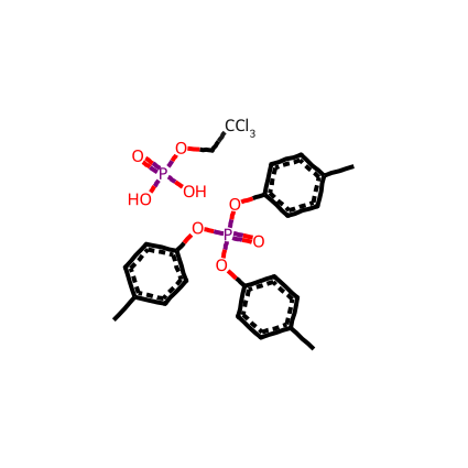 Cc1ccc(OP(=O)(Oc2ccc(C)cc2)Oc2ccc(C)cc2)cc1.O=P(O)(O)OCC(Cl)(Cl)Cl